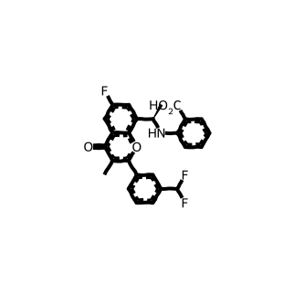 Cc1c(-c2cccc(C(F)F)c2)oc2c([C@@H](C)Nc3ccccc3C(=O)O)cc(F)cc2c1=O